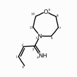 C/C=C\C(=N)N1CCCOCC1